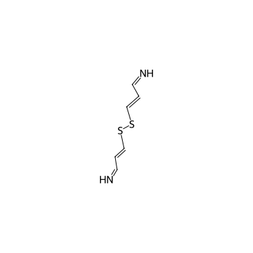 N=C/C=C/SS/C=C/C=N